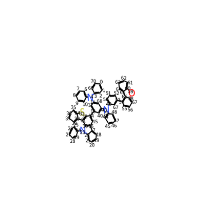 c1ccc(N(c2ccccc2)c2cc(-c3cc4c5ccccc5n(-c5ccccc5)c4c4c3sc3ccccc34)cc(N(c3ccccc3)c3cccc(-c4cccc5oc6ccccc6c45)c3)c2)cc1